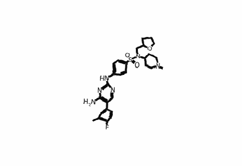 Cc1cc(-c2cnc(Nc3ccc(S(=O)(=O)N(CC4CCCO4)C4CCN(C)CC4)cc3)nc2N)ccc1F